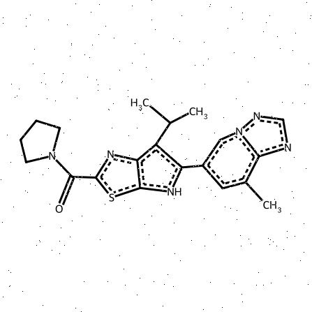 Cc1cc(-c2[nH]c3sc(C(=O)N4CCCC4)nc3c2C(C)C)cn2ncnc12